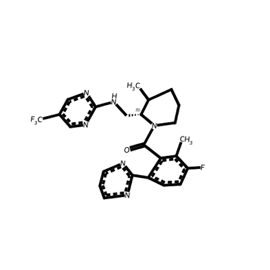 Cc1c(F)ccc(-c2ncccn2)c1C(=O)N1CCCC(C)[C@H]1CNc1ncc(C(F)(F)F)cn1